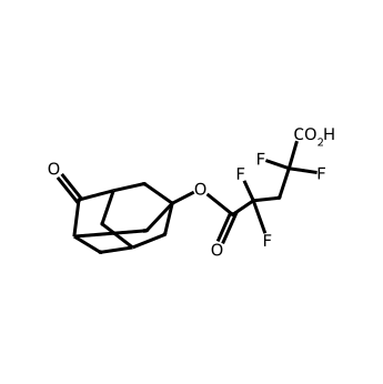 O=C1C2CC3CC1CC(OC(=O)C(F)(F)CC(F)(F)C(=O)O)(C3)C2